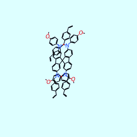 C=Cc1ccc(CN(c2ccc(OC)cc2)c2ccc3c(c2)C2(c4cc(N(Cc5ccc(C=C)cc5)c5ccc(OC)cc5)ccc4-3)c3cc(N(Cc4ccc(C=C)cc4)c4ccc(OC)cc4)ccc3-c3ccc(N(Cc4ccc(C=C)cc4)c4ccc(OC)cc4)cc32)cc1